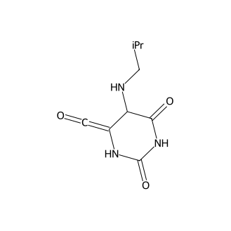 CC(C)CNC1C(=O)NC(=O)NC1=C=O